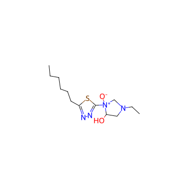 CCCCCCc1nnc([N+]2([O-])CN(CC)CC2O)s1